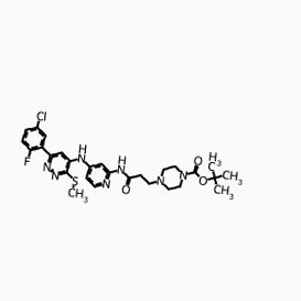 CSc1nnc(-c2cc(Cl)ccc2F)cc1Nc1ccnc(NC(=O)CCN2CCN(C(=O)OC(C)(C)C)CC2)c1